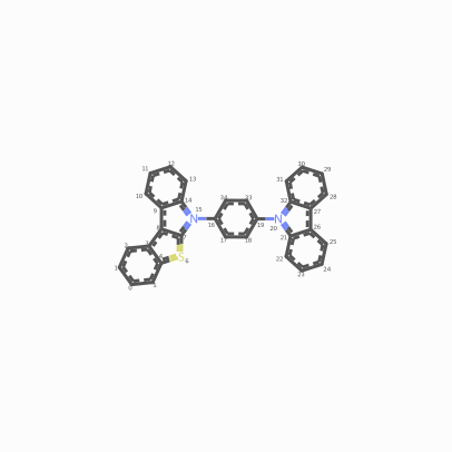 c1ccc2c(c1)sc1c2c2ccccc2n1-c1ccc(-n2c3ccccc3c3ccccc32)cc1